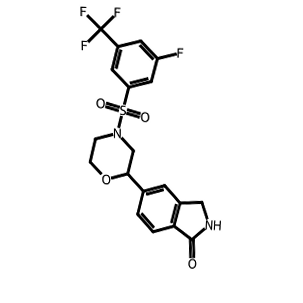 O=C1NCc2cc(C3CN(S(=O)(=O)c4cc(F)cc(C(F)(F)F)c4)CCO3)ccc21